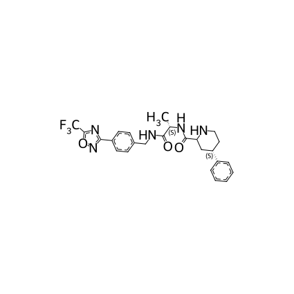 C[C@H](NC(=O)C1C[C@@H](c2ccccc2)CCN1)C(=O)NCc1ccc(-c2noc(C(F)(F)F)n2)cc1